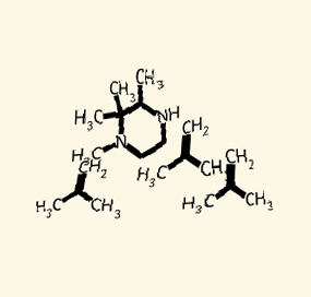 C=C(C)C.C=C(C)C.C=C(C)C.CC1NCCN(C)C1(C)C